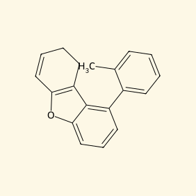 Cc1ccccc1-c1cccc2oc3c(c12)CCC=C3